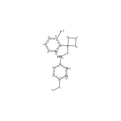 CCc1ccc(NCC2(c3ncccc3F)CCC2)nn1